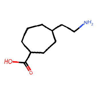 NCCC1CCCC(C(=O)O)CC1